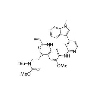 C=CC(=O)Nc1nc(Nc2nccc(-c3cn(C)c4ccccc34)n2)c(OC)cc1N(C)CCN(C(=O)OC)C(C)(C)C